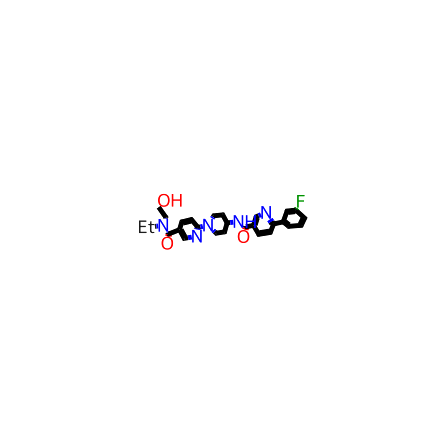 CCN(CCO)C(=O)c1ccc(N2CCC(NC(=O)c3ccc(-c4cccc(F)c4)nc3)CC2)nc1